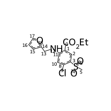 CCOC(=O)c1cc(S(C)(=O)=O)c(Cl)cc1NCc1ccco1